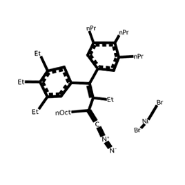 CCCCCCCCC(=C=[N+]=[N-])C(CC)=C(c1cc(CC)c(CC)c(CC)c1)c1cc(CCC)c(CCC)c(CCC)c1.[Br][Ni][Br]